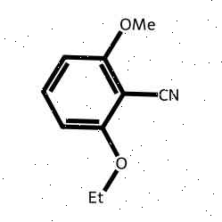 CCOc1cccc(OC)c1C#N